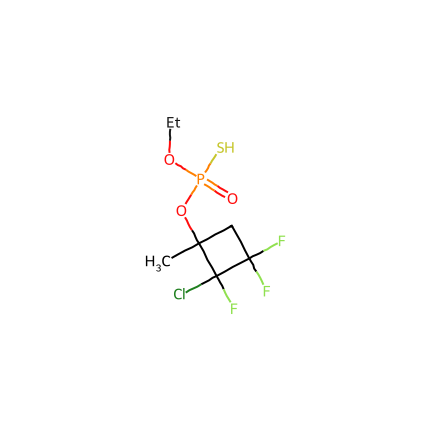 CCOP(=O)(S)OC1(C)CC(F)(F)C1(F)Cl